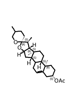 CC(=O)O[C@H]1CC[C@@]2(C)C(=CCC3[C@@H]4C[C@@H]5O[C@]6(CCC(C)CO6)[C@@H](C)[C@@H]5[C@@]4(C)CC[C@@H]32)C1